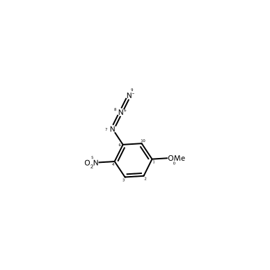 COc1ccc([N+](=O)[O-])c(N=[N+]=[N-])c1